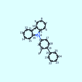 Cc1cc(-n2c3ccccc3c3ccccc32)ccc1-c1ccccc1